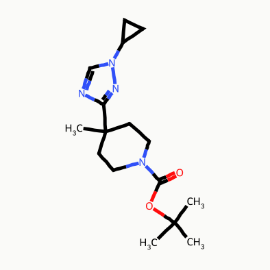 CC(C)(C)OC(=O)N1CCC(C)(c2ncn(C3CC3)n2)CC1